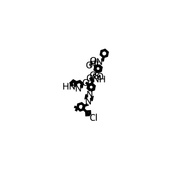 CC1(C)CCC(CN2CCN(c3ccc(C(=O)NS(=O)(=O)c4ccc(NCC5CCCCC5)c([N+](=O)[O-])c4)c(Oc4cnc5[nH]ccc5c4)c3)CC2)=C(C23CC(Cl)(C2)C3)C1